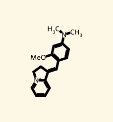 COc1cc(N(C)C)ccc1C=C1CC[n+]2ccccc21